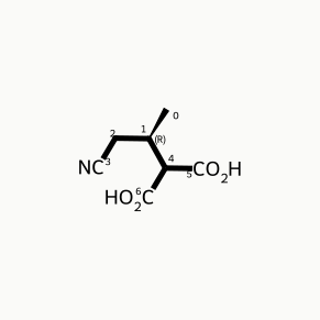 C[C@H](CC#N)C(C(=O)O)C(=O)O